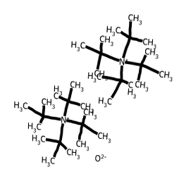 CC(C)(C)[N+](C(C)(C)C)(C(C)(C)C)C(C)(C)C.CC(C)(C)[N+](C(C)(C)C)(C(C)(C)C)C(C)(C)C.[O-2]